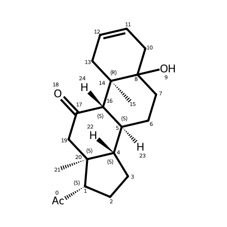 CC(=O)[C@H]1CC[C@H]2[C@@H]3CCC4(O)CC=CC[C@]4(C)[C@H]3C(=O)C[C@]12C